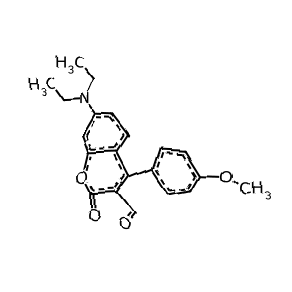 CCN(CC)c1ccc2c(-c3ccc(OC)cc3)c(C=O)c(=O)oc2c1